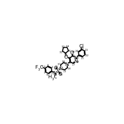 CN(c1ccc(C(F)(F)F)cc1)S(=O)(=O)N1CCN(c2cnn(-c3cccc(Cl)c3)c(=O)c2OC2CCCC2)CC1